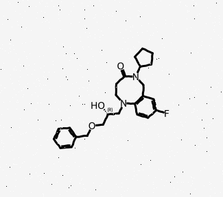 O=C1CCN(C[C@@H](O)COCc2ccccc2)c2ccc(F)cc2CN1C1CCCC1